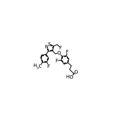 Cc1ccc(-c2nsc(CF)c2COc2c(F)cc(CCC(=O)O)cc2F)cc1F